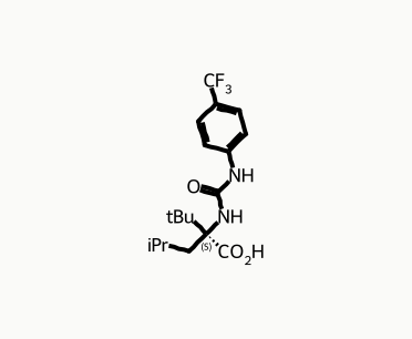 CC(C)C[C@@](NC(=O)Nc1ccc(C(F)(F)F)cc1)(C(=O)O)C(C)(C)C